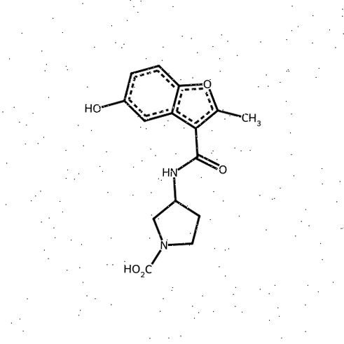 Cc1oc2ccc(O)cc2c1C(=O)NC1CCN(C(=O)O)C1